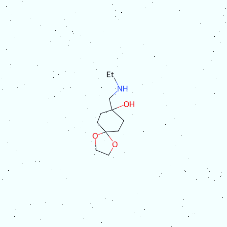 CCNCC1(O)CCC2(CC1)OCCO2